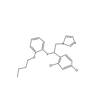 CCCCOc1ccccc1SC(Cn1ccnc1)c1ccc(Cl)cc1Cl